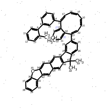 C/C=c1/c(-c2cccc(-c3ccccc3C)c2)ccccccc(-c2ccc3c(c2)-c2cc4cc5oc6ccccc6c5cc4cc2C3(C)C)/c1=C/C